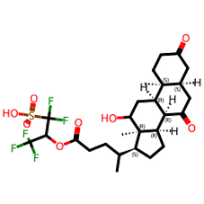 CC(CCC(=O)OC(C(F)(F)F)C(F)(F)S(=O)(=O)O)[C@@H]1CC[C@@H]2[C@@H]3C(=O)C[C@@H]4CC(=O)CC[C@]4(C)[C@@H]3CC(O)[C@@]21C